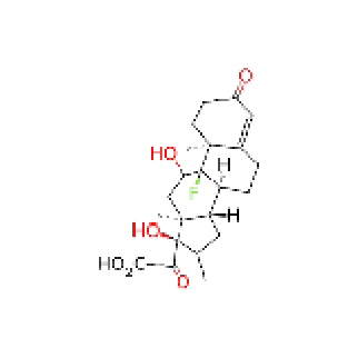 CC1C[C@H]2[C@@H]3CCC4=CC(=O)CC[C@]4(C)[C@@]3(F)C(O)C[C@]2(C)[C@@]1(O)C(=O)C(=O)O